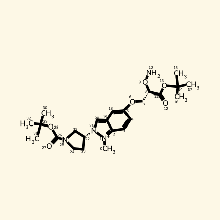 C[n+]1c2ccc(OC[C@H](ON)C(=O)OC(C)(C)C)cc2cn1[C@@H]1CCN(C(=O)OC(C)(C)C)C1